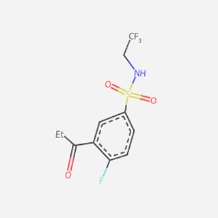 CCC(=O)c1cc(S(=O)(=O)NCC(F)(F)F)ccc1F